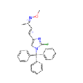 CO/N=C(C)\C=C\c1cn(C(c2ccccc2)(c2ccccc2)c2ccccc2)c(F)n1